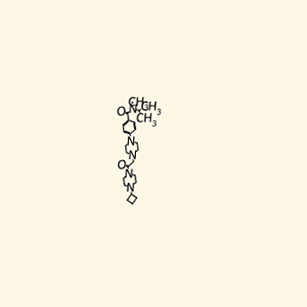 CC(C)N(C)C(=O)c1ccc(N2CCN(CC(=O)N3CCN(C4CCC4)CC3)CC2)cc1